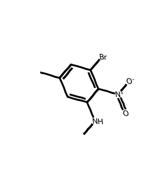 CNc1cc(C)cc(Br)c1[N+](=O)[O-]